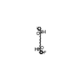 O=C(CCCCCCCCC(=O)Nc1cccc(F)c1)NC1=CC[CH]C=C1